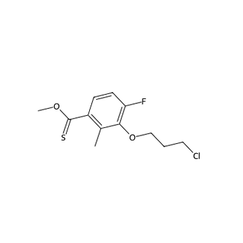 COC(=S)c1ccc(F)c(OCCCCl)c1C